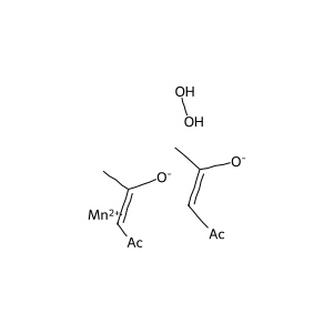 CC(=O)/C=C(/C)[O-].CC(=O)/C=C(/C)[O-].OO.[Mn+2]